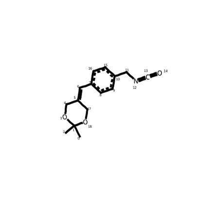 CC1(C)OCC(=Cc2ccc(CN=C=O)cc2)CO1